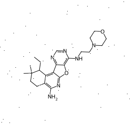 CCC1c2c(c(N)nc3oc4c(NCCN5CCOCC5)ncnc4c23)CCC1(C)C